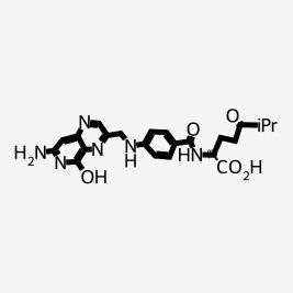 CC(C)C(=O)CC[C@@H](NC(=O)c1ccc(NCc2cnc3cc(N)nc(O)c3n2)cc1)C(=O)O